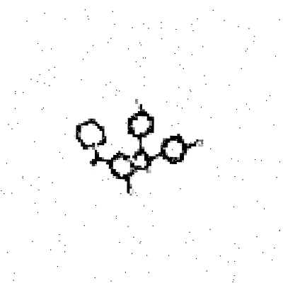 O=C(c1cc(Cl)c2nc(-c3ccc(Cl)cc3)c(-c3ccc(Cl)cc3)n2c1)N1CCCCCC1